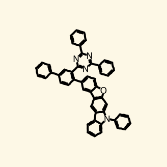 c1ccc(-c2ccc(-c3ccc4oc5cc6c(cc5c4c3)c3ccccc3n6-c3ccccc3)c(-c3nc(-c4ccccc4)nc(-c4ccccc4)n3)c2)cc1